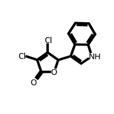 O=C1OC(c2c[nH]c3ccccc23)C(Cl)=C1Cl